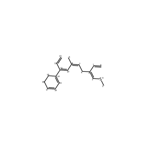 C=C/C(=C\SC)C/C=C(C)\C=C(/C=C)C1=CC=CCC1